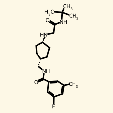 Cc1cc(F)cc(C(=O)NC[C@H]2CC[C@H](NCC(=O)NC(C)(C)C)CC2)c1